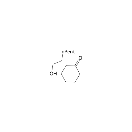 CCCCCCCO.O=C1CCCCC1